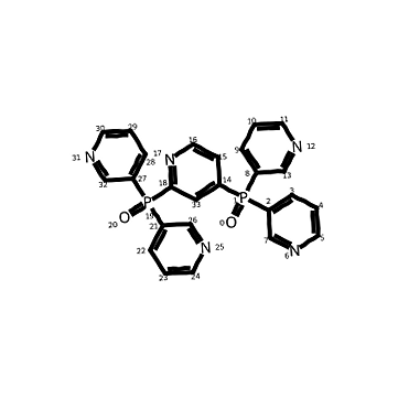 O=P(c1cccnc1)(c1cccnc1)c1ccnc(P(=O)(c2cccnc2)c2cccnc2)c1